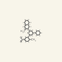 Cc1ccc([N+](=O)[O-])cc1-c1cc(-c2ccccc2)cc(-c2cc3ccccc3cc2C)n1